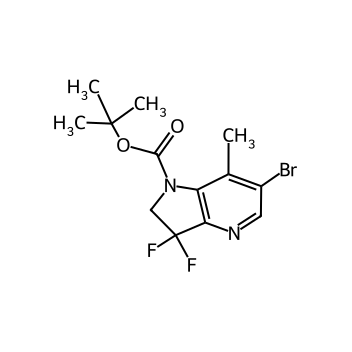 Cc1c(Br)cnc2c1N(C(=O)OC(C)(C)C)CC2(F)F